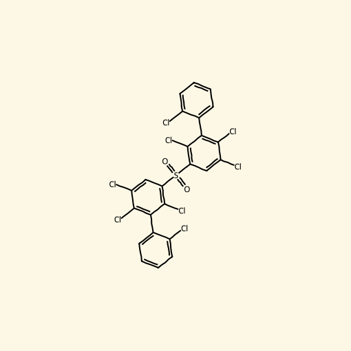 O=S(=O)(c1cc(Cl)c(Cl)c(-c2ccccc2Cl)c1Cl)c1cc(Cl)c(Cl)c(-c2ccccc2Cl)c1Cl